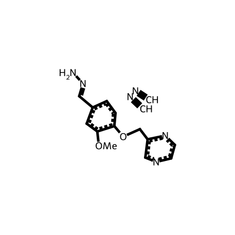 C#N.C#N.COc1cc(C=NN)ccc1OCc1cnccn1